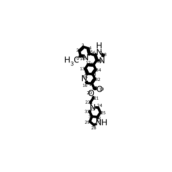 Cc1cccc(-c2[nH]cnc2-c2ccc3ncc(C(=O)OCCN4CCC5NCCC5C4)cc3c2)n1